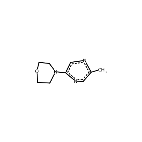 Cc1cnc(N2CCOCC2)cn1